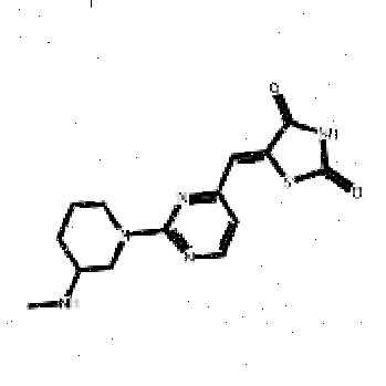 CNC1CCCN(c2nccc(/C=C3\SC(=O)NC3=O)n2)C1